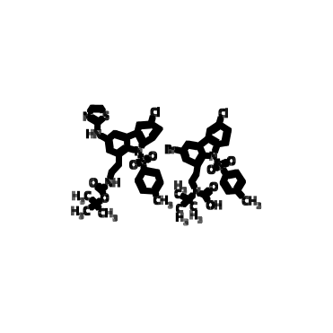 Cc1ccc(S(=O)(=O)n2c3ccc(Cl)cc3c3cc(Br)cc(CCN(C(=O)O)C(C)(C)C)c32)cc1.Cc1ccc(S(=O)(=O)n2c3ccc(Cl)cc3c3cc(Nc4nccs4)cc(CCNC(=O)OC(C)(C)C)c32)cc1